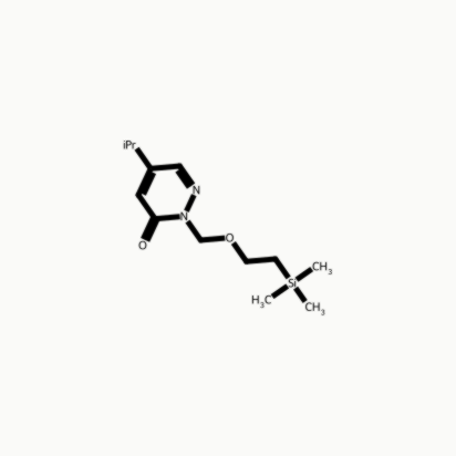 CC(C)c1cnn(COCC[Si](C)(C)C)c(=O)c1